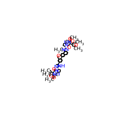 CC[C@H](C)[C@H](NC(=O)OC)C(=O)N1[C@@H](C)CC[C@H]1c1ncc(-c2ccc3c(c2)COc2cc4c(ccc5nc([C@@H]6CC[C@H](C)N6C(=O)[C@@H](NC(=O)OC)C6C[C@@H](C)O[C@H](C)C6)n(C)c54)cc2-3)[nH]1